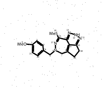 COc1ccc(CN2CC3=C4C(=NNN=C4C(SC)=N2)CC3)cc1